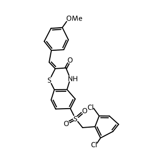 COc1ccc(/C=C2/Sc3ccc(S(=O)(=O)Cc4c(Cl)cccc4Cl)cc3NC2=O)cc1